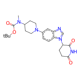 CN(C(=O)OC(C)(C)C)C1CCN(c2ccc3c(c2)ncn3C2CCC(=O)NC2=O)CC1